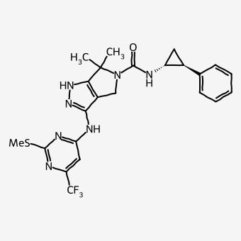 CSc1nc(Nc2n[nH]c3c2CN(C(=O)N[C@@H]2C[C@H]2c2ccccc2)C3(C)C)cc(C(F)(F)F)n1